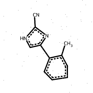 Cc1ccccc1-c1c[nH]c(C#N)n1